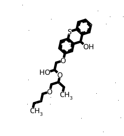 CCCCOCC(CC)OC(O)COc1ccc2c(c1)C(O)c1ccccc1S2